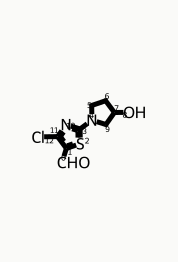 O=Cc1sc(N2CCC(O)C2)nc1Cl